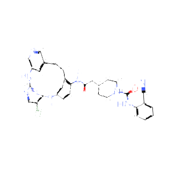 N#Cc1ccccc1NC(=O)N1CCC(CC(=O)Nc2ccc3cc2CCc2cncc(c2)Nc2ncc(Cl)c(n2)N3)CC1